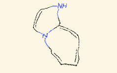 C1=CC=C2NC=CN2C=C1